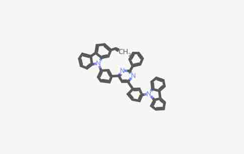 C=Cc1ccc2c3ccccc3n(-c3cccc(-c4cc(-c5cccc(-n6c7ccccc7c7ccccc76)c5)nc(-c5ccccc5)n4)c3)c2c1